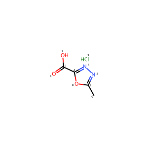 Cc1nnc(C(=O)O)o1.Cl